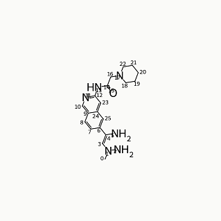 CN(N)/C=C(\N)c1ccc2cnc(NC(=O)CN3CCCCC3)cc2c1